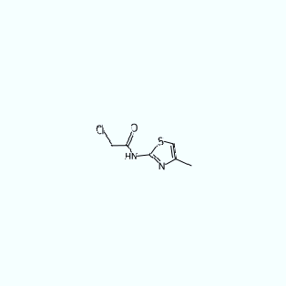 Cc1csc(NC(=O)CCl)n1